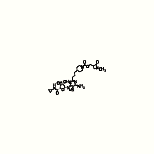 CN1CC(COC(=O)N2CCC(CCCc3nc(N)c4ncn([C@@H]5O[C@H](C(=O)NC6CC6)C(O)[C@@H]5O)c4n3)CC2)C1=O